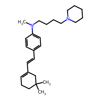 CN(CCCCN1CCCCC1)c1ccc(C=CC2=CCCC(C)(C)C2)cc1